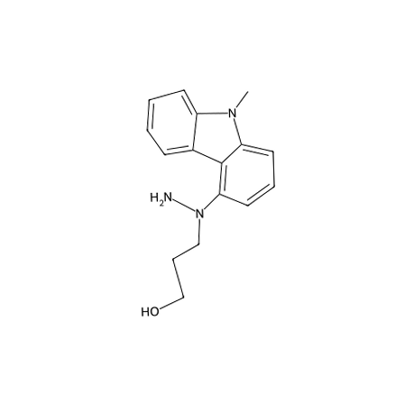 Cn1c2ccccc2c2c(N(N)CCCO)cccc21